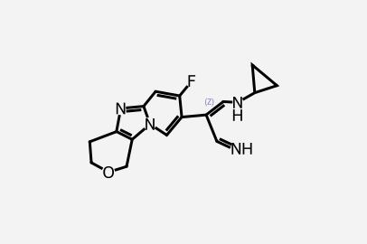 N=C/C(=C\NC1CC1)c1cn2c3c(nc2cc1F)CCOC3